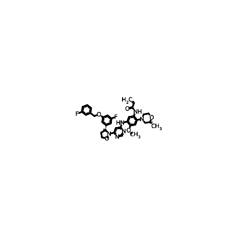 C=CC(=O)Nc1cc(Nc2cc(N3OCC[C@@H]3c3cc(F)cc(OCc4cccc(F)c4)c3)ncn2)c(OC)cc1N1CCO[C@@H](C)C1